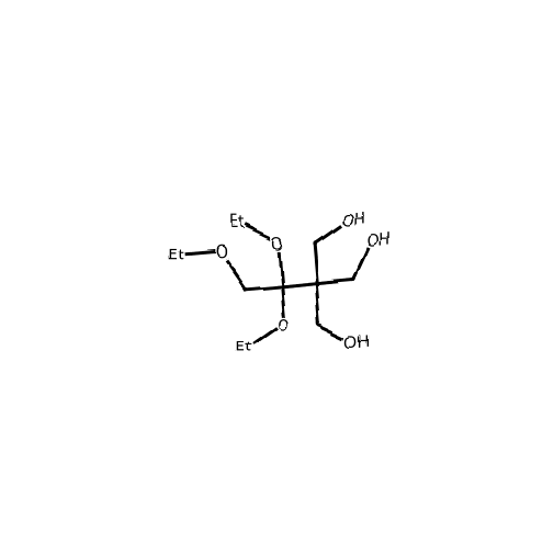 CCOCC(OCC)(OCC)C(CO)(CO)CO